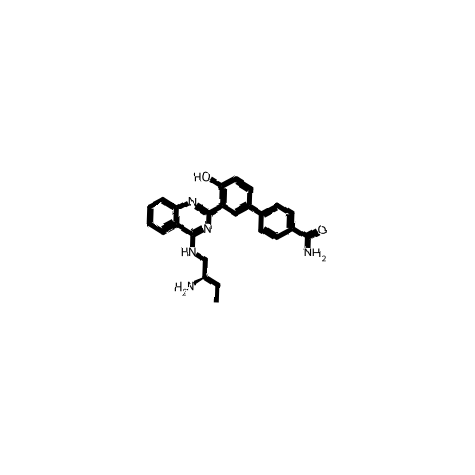 CC[C@@H](N)CNc1nc(-c2cc(-c3ccc(C(N)=O)cc3)ccc2O)nc2ccccc12